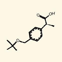 C[C@H](C(=O)O)c1ccc(COC(C)(C)C)cc1